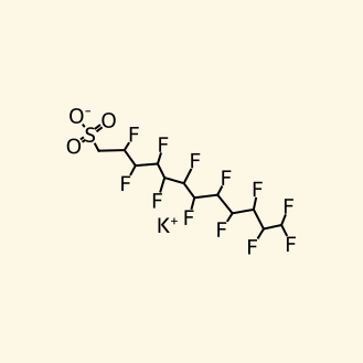 O=S(=O)([O-])CC(F)C(F)C(F)C(F)C(F)C(F)C(F)C(F)C(F)C(F)C(F)F.[K+]